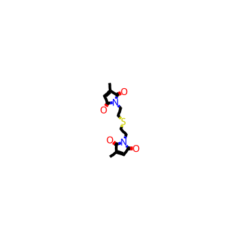 CC1=CC(=O)N(CCSCCN2C(=O)C=C(C)C2=O)C1=O